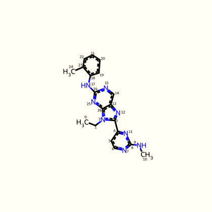 CCn1c(-c2ccnc(NC)n2)nc2cnc(Nc3ccccc3C)nc21